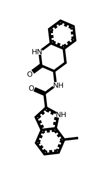 Cc1cccc2cc(C(=O)NC3Cc4ccccc4NC3=O)[nH]c12